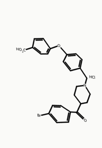 Cl.O=C(O)c1ccc(Oc2ccc(CN3CCC(C(=O)c4ccc(Br)cc4)CC3)cc2)cc1